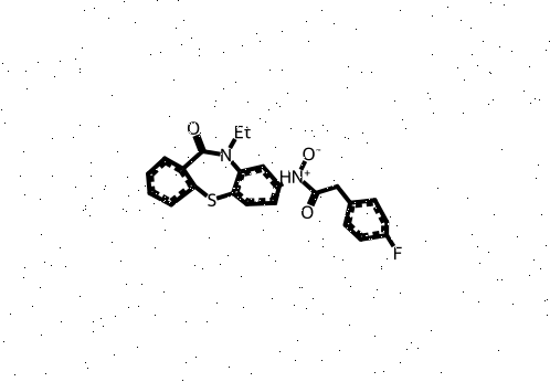 CCN1C(=O)c2ccccc2Sc2ccc([NH+]([O-])C(=O)Cc3ccc(F)cc3)cc21